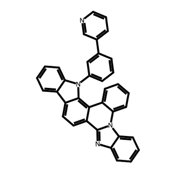 c1cncc(-c2cccc(-n3c4ccccc4c4ccc5c(c6ccccc6n6c7ccccc7nc56)c43)c2)c1